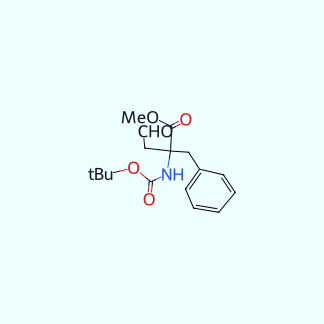 COC(=O)C(CC=O)(Cc1ccccc1)NC(=O)OC(C)(C)C